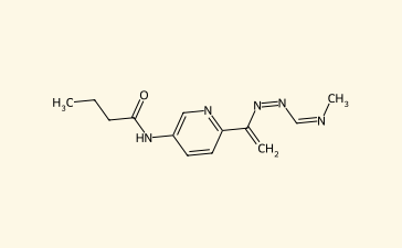 C=C(/N=N\C=N/C)c1ccc(NC(=O)CCC)cn1